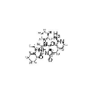 CC[C@@H](NC(=O)N1C(=O)[C@H](Cc2ccnc(N)c2)[C@H]1C(=O)N(CC)c1ccccc1)C1CCCCC1